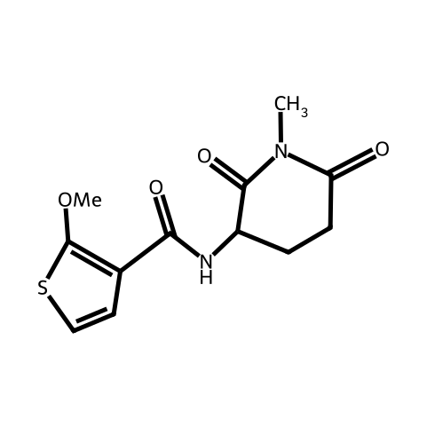 COc1sccc1C(=O)NC1CCC(=O)N(C)C1=O